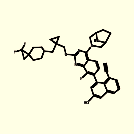 C#Cc1cccc2cc(O)cc(-c3ccc4c(N5CC6CCC(C5)N6)nc(OCC5(CN6CCC7(CC6)CC7(F)F)CC5)nc4c3F)c12